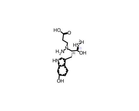 [2H]/[SH]=C(\O)[C@H](Cc1c[nH]c2cc(O)ccc12)N(N)CCC(=O)O